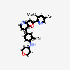 COc1cc(C(C)=O)cnc1-c1cc2nccc(-c3ccc(NC4CCOCC4)c(C#N)c3)c2o1